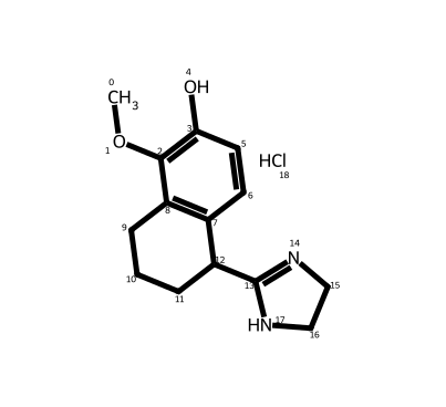 COc1c(O)ccc2c1CCCC2C1=NCCN1.Cl